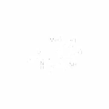 CCC(=O)NCC(C)c1c[nH]c2c(Cl)c(Cl)c(OC)cc12